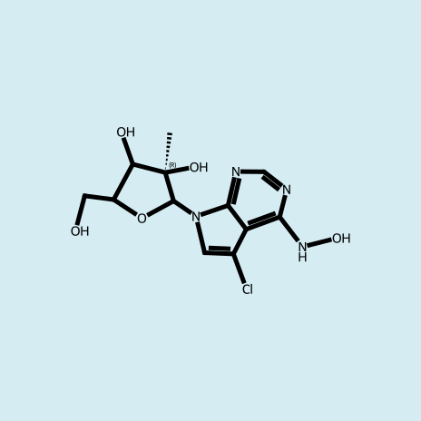 C[C@@]1(O)C(O)C(CO)OC1n1cc(Cl)c2c(NO)ncnc21